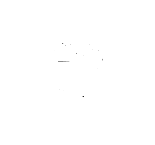 CCOC(O)(O)C(=O)CC.Oc1ccccc1-c1ccccc1O